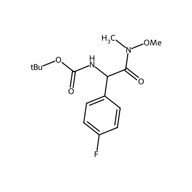 CON(C)C(=O)C(NC(=O)OC(C)(C)C)c1ccc(F)cc1